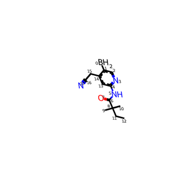 Bc1cnc(NC(=O)C(C)(C)CC)cc1CC#N